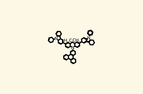 CC1(C)C2C=C(C3=CC4C5=C(C=CCC5)N(C5CC=CCC5)C4C=C3)C=CC2N(C2=CC3=C(CC2)C2=C(C=CCC2)C2C=CC=CC32)C2C=CC(C3C=c4c5c(n(-c6ccccc6)c4=CC3)CCCC5)=CC21